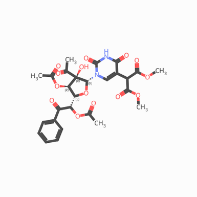 COC(=O)C(C(=O)OC)c1cn([C@@H]2O[C@H](C(OC(C)=O)C(=O)c3ccccc3)[C@@H](OC(C)=O)[C@]2(O)C(C)=O)c(=O)[nH]c1=O